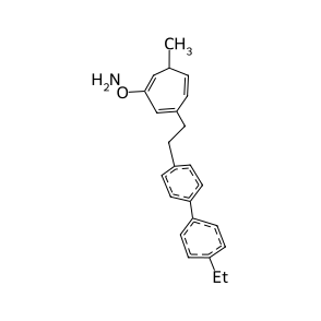 CCc1ccc(-c2ccc(CCC3=CC(ON)=CC(C)C=C3)cc2)cc1